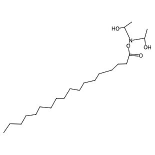 CCCCCCCCCCCCCCCCCC(=O)ON(C(C)O)C(C)O